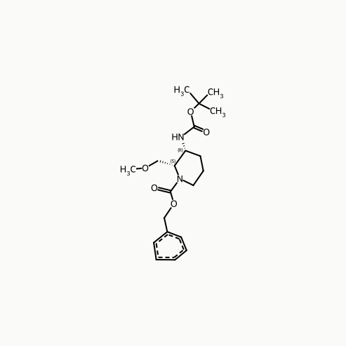 COC[C@@H]1[C@H](NC(=O)OC(C)(C)C)CCCN1C(=O)OCc1ccccc1